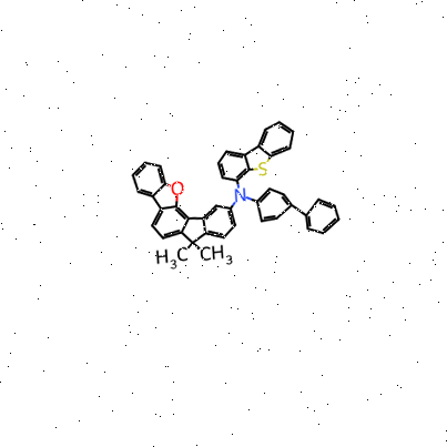 CC1(C)c2ccc(N(c3ccc(-c4ccccc4)cc3)c3cccc4c3sc3ccccc34)cc2-c2c1ccc1c2oc2ccccc21